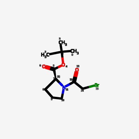 CC(C)(C)OC(=O)[C@@H]1CCCN1C(=O)CBr